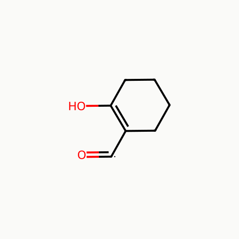 O=[C]C1=C(O)CCCC1